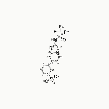 CS(=O)(=O)c1cccc(-c2ccn3cc(NC(=O)C(F)(F)F)nc3c2)c1